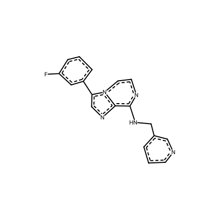 Fc1cccc(-c2cnc3c(NCc4cccnc4)nccn23)c1